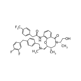 C[C@@H]1CN([C@@H](C)CO)C(=O)c2cccc(NC(=O)Cc3ccc(C(F)(F)F)cc3)c2O[C@@H]1CN(C)Cc1ccc(Cc2ccc(F)c(F)c2)cc1